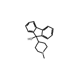 CN1CCC(C2(O)c3ccccc3-c3ccccc32)CC1